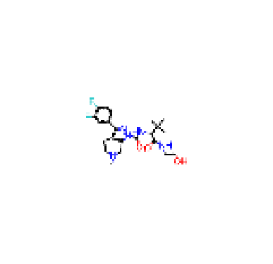 CN1CCc2c(-c3ccc(F)c(F)c3)nn(C(=O)NC(C(=O)NCCO)C(C)(C)C)c2C1